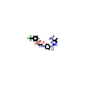 Cc1cnc(N[C@H]2CC[C@@H](NC(=O)CS(=O)(=O)c3cccc(C(F)(F)F)c3)CC2)nc1N(C)C